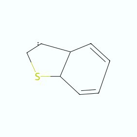 [C]1CSC2C=CC=CC12